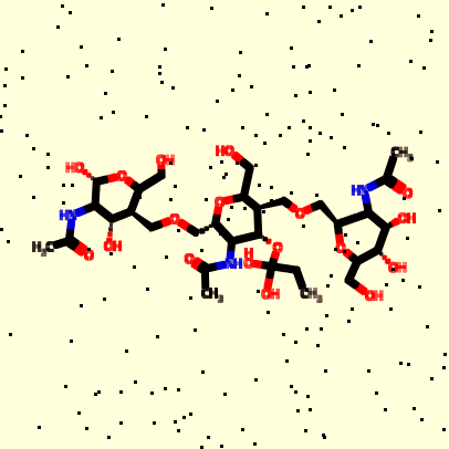 CCC(O)(O)O[C@@H]1C(NC(C)=O)[C@H](COC[C@@H]2C(CO)O[C@@H](O)C(NC(C)=O)[C@H]2O)OC(CO)[C@H]1COC[C@@H]1OC(CO)[C@@H](O)[C@H](O)C1NC(C)=O